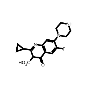 O=C(O)C1C(=O)c2cc(F)c(N3CCNCC3)cc2N=C1C1CC1